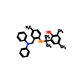 Cc1ccc(PC(C)(C)c2cc(C)cc(C)c2O)c(CN(c2ccccc2)c2ccccc2)c1